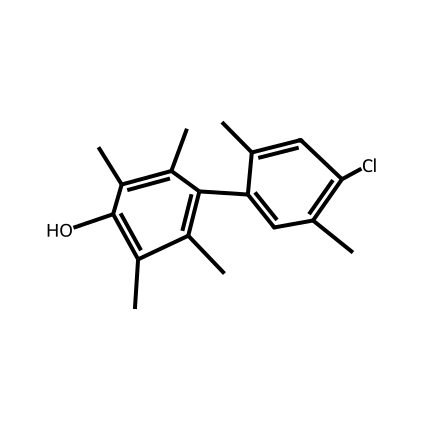 Cc1cc(-c2c(C)c(C)c(O)c(C)c2C)c(C)cc1Cl